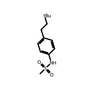 CC(C)(C)CCc1ccc(NS(C)(=O)=O)cc1